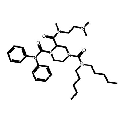 CCCCCN(CCCCC)C(=O)N1CCN(C(=O)N(c2ccccc2)c2ccccc2)C(C(=O)N(C)CCN(C)C)C1